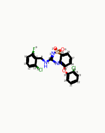 O=S1(=O)N=C(NCc2c(F)cccc2Cl)Nc2c(Oc3ccccc3Cl)cccc21